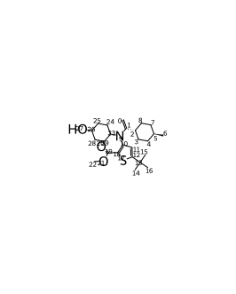 C=C([C@H]1CC[C@H](C)CC1)N(c1cc(C(C)(C)C)sc1C(=O)OC)C1CCC(O)CC1